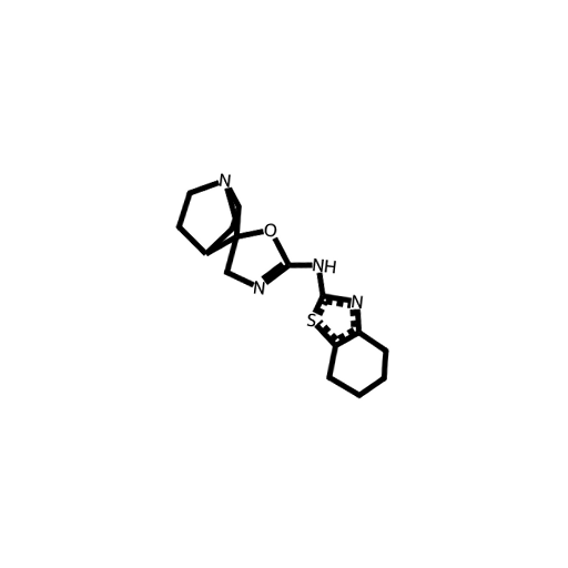 C1CCc2sc(NC3=NCC4(CN5CCC4CC5)O3)nc2C1